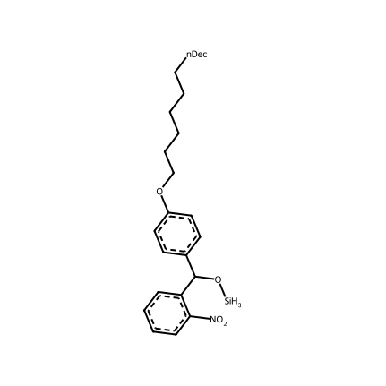 CCCCCCCCCCCCCCCCOc1ccc(C(O[SiH3])c2ccccc2[N+](=O)[O-])cc1